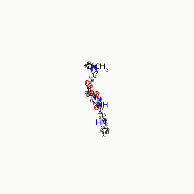 CN(CCCCCC(=O)OCC1OC(n2ccc(NC(=O)CCCCCNCc3ccccc3)nc2=O)CS1)c1ccccc1